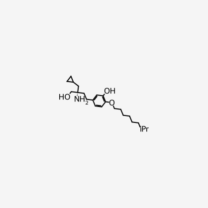 CC(C)CCCCCCOc1ccc(CC[C@@](N)(CO)CC2CC2)cc1O